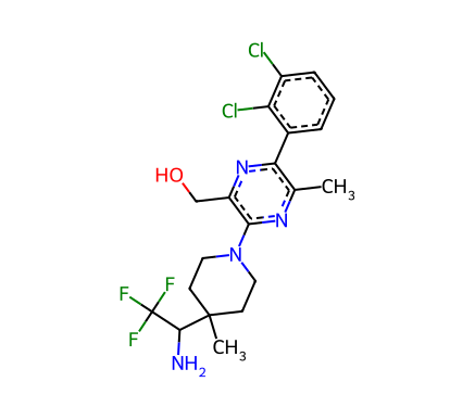 Cc1nc(N2CCC(C)(C(N)C(F)(F)F)CC2)c(CO)nc1-c1cccc(Cl)c1Cl